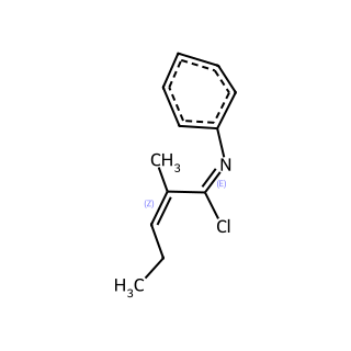 CC/C=C(C)\C(Cl)=N/c1ccccc1